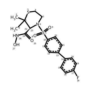 CC1(C)SCCN(S(=O)(=O)c2ccc(-c3ccc(F)cc3)cc2)[C@H]1C(=O)NO